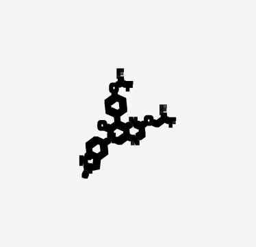 Cn1cc2cc(-n3cc4ncc(OCC(F)F)nc4c(-c4ccc(OC(F)F)cc4)c3=O)ccc2n1